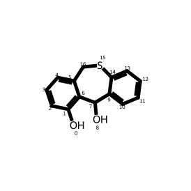 Oc1cccc2c1C(O)c1ccccc1SC2